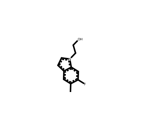 Cc1cc2ccn(CCO)c2cc1F